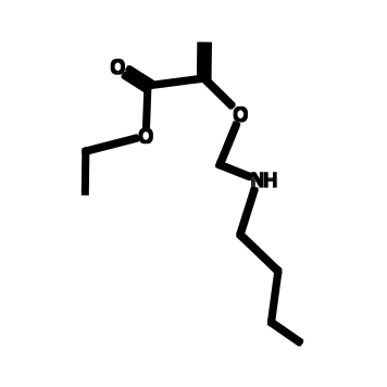 C=C(OCNCCCC)C(=O)OCC